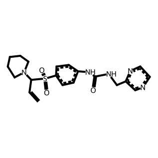 C=CC(N1CCCCC1)S(=O)(=O)c1ccc(NC(=O)NCc2cnccn2)cc1